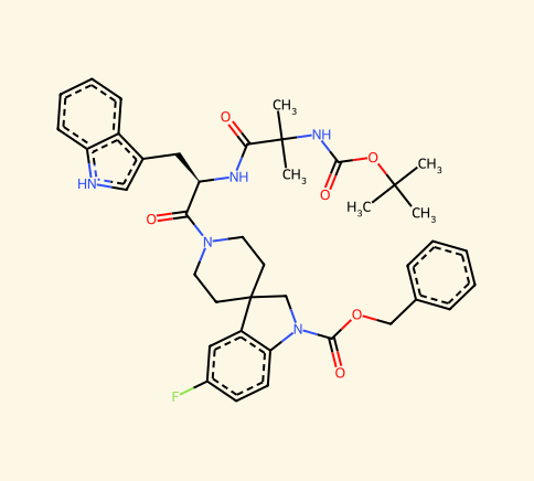 CC(C)(C)OC(=O)NC(C)(C)C(=O)N[C@H](Cc1c[nH]c2ccccc12)C(=O)N1CCC2(CC1)CN(C(=O)OCc1ccccc1)c1ccc(F)cc12